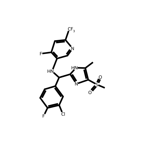 Cc1[nH]c(C(Nc2cnc(C(F)(F)F)cc2F)c2ccc(F)c(Cl)c2)nc1S(C)(=O)=O